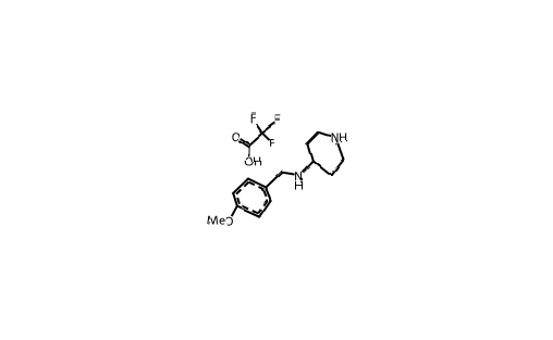 COc1ccc(CNC2CCNCC2)cc1.O=C(O)C(F)(F)F